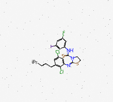 CC(C)CCCc1cc(Cl)cc(/N=C2/SCCN2C(=S)Nc2cc(F)cc(I)c2)c1Cl